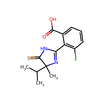 CC(C)C1(C)N=C(c2c(F)cccc2C(=O)O)NC1=S